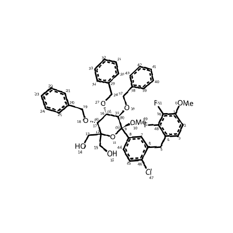 COc1ccc(Cc2cc([C@]3(OC)OC(CO)(CO)[C@H](OCc4ccccc4)[C@H](OCc4ccccc4)[C@H]3OCc3ccccc3)ccc2Cl)c(F)c1F